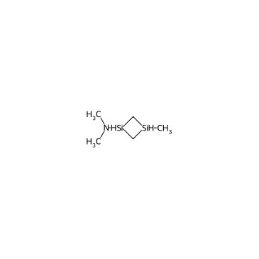 CN(C)[SiH]1C[SiH](C)C1